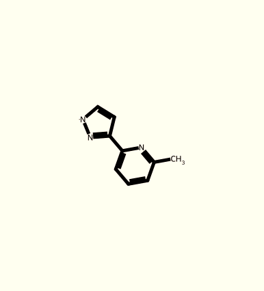 Cc1cccc(C2=N[N]C=C2)n1